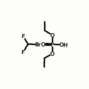 CCOP(=O)(O)OCC.FC(F)Br